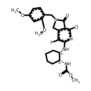 COC(=O)N[C@@H]1CCCC[C@@H]1Nc1nc(Cl)c2c(c1F)CN(Cc1ccc(OC)cc1OC)C2=O